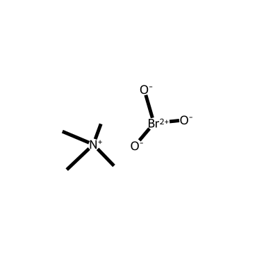 C[N+](C)(C)C.[O-][Br+2]([O-])[O-]